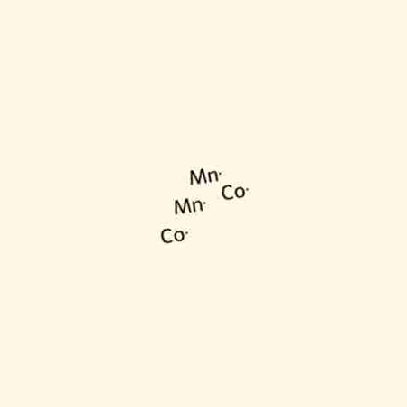 [Co].[Co].[Mn].[Mn]